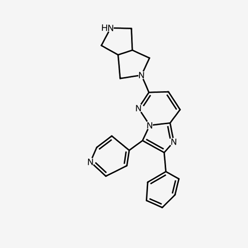 c1ccc(-c2nc3ccc(N4CC5CNCC5C4)nn3c2-c2ccncc2)cc1